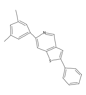 Cc1cc(C)cc(-c2cc3sc(-c4ccccc4)cc3cn2)c1